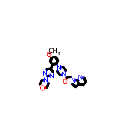 COc1ccc(N2CCN(C(=O)Cn3ccc4cccnc43)CC2)c(-c2cnc(N3CCOCC3)nc2)c1